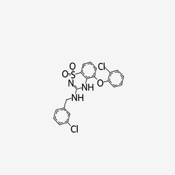 O=S1(=O)N=C(NCc2cccc(Cl)c2)Nc2c(Oc3ccccc3Cl)cccc21